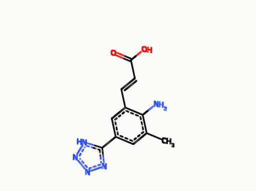 Cc1cc(-c2nnn[nH]2)cc(C=CC(=O)O)c1N